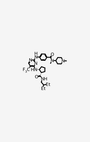 CCC(CC)CNC(=O)[C@H]1CCC[C@H]1Nc1nc(Nc2ccc(C(=O)N(C)C3CCN(C)CC3)cc2)ncc1C(F)(F)F